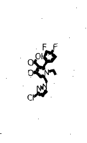 CCn1c(Cn2ccc(Cl)n2)cc(=O)c(C(=O)O)c1-c1ccc(F)c(F)c1